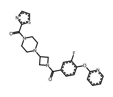 O=C(c1ccc(Oc2ccccn2)c(F)c1)N1CC(N2CCN(C(=O)c3nccs3)CC2)C1